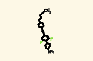 CC#CCCCc1ccc(C#Cc2cc(F)c(-c3ccc(CCC)cc3)c(F)c2)cc1